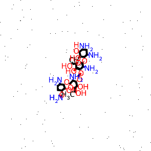 CC(O)C1O[C@H](O[C@H]2C(N)C[C@@H](N)C(O)C2O)C(N)C(OCOC2C(N)[C@@H](O[C@H]3C(N)CCC(ON)C3O)OC(C(C)O)[C@H]2O)=C1O